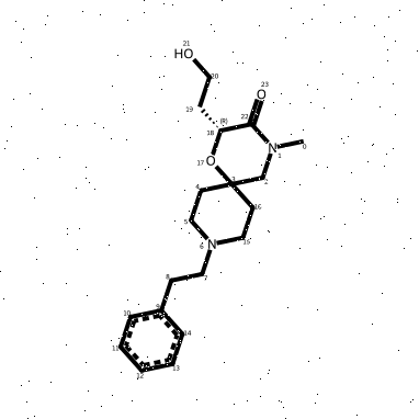 CN1CC2(CCN(CCc3ccccc3)CC2)O[C@H](CCO)C1=O